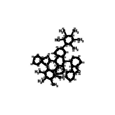 Bc1c(B)c(B)c(-n2c(-c3c4ccccc4c(-c4cccc5oc6ccccc6c45)c4cc(-c5c(B)c(B)c(B)c(B)c5O)ccc34)nc3ccccc32)c(B)c1B